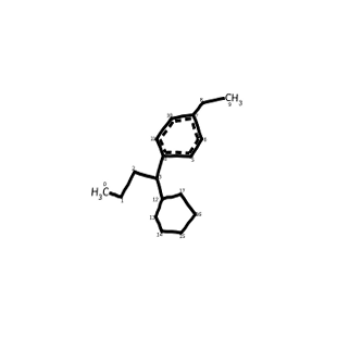 CCCC(c1ccc(CC)cc1)C1CCCCC1